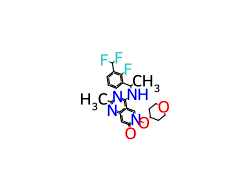 Cc1nc(N[C@H](C)c2cccc(C(F)F)c2F)c2cn(OC3CCOCC3)c(=O)cc2n1